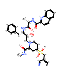 CC(C)[C@H](NC(=O)c1ccc2ccccc2n1)C(=O)N[C@@H](Cc1ccccc1)[C@H](O)CN1CC[C@@H](S(=O)(=O)Cc2cccnc2)CC1C(=O)NC(C)(C)C